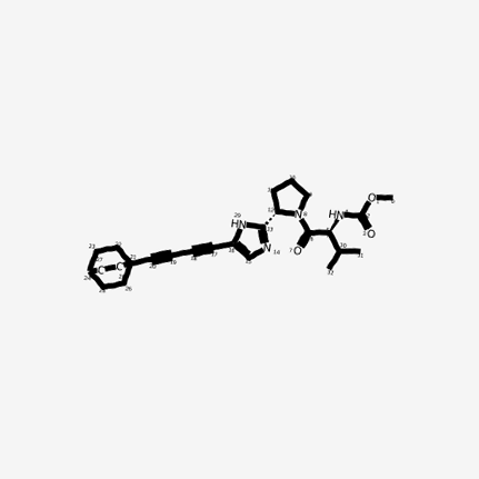 COC(=O)N[C@H](C(=O)N1CCC[C@H]1c1ncc(C#CC#CC23CCC(CC2)CC3)[nH]1)C(C)C